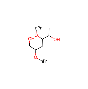 CCCOC(CO)CC(OCCC)C(C)O